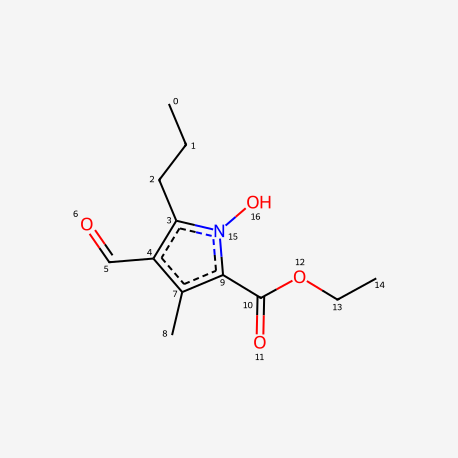 CCCc1c(C=O)c(C)c(C(=O)OCC)n1O